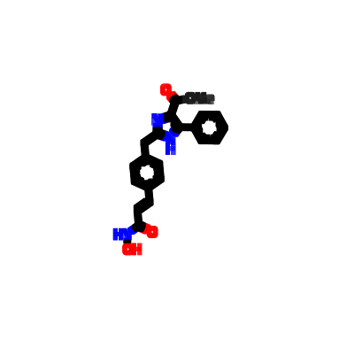 COC(=O)c1nc(Cc2ccc(/C=C/C(=O)NO)cc2)[nH]c1-c1ccccc1